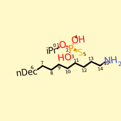 CC(C)OP(O)(O)=S.CCCCCCCCCCCCCCCCCCN